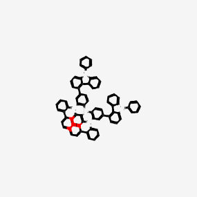 c1ccc(-c2ccccc2N2c3cc(-c4cccc5c4c4ccccc4n5-c4ccccc4)ccc3B3c4ccc(-c5cccc6c5c5ccccc5n6-c5ccccc5)cc4N(c4ccccc4-c4ccccc4)c4cccc2c43)cc1